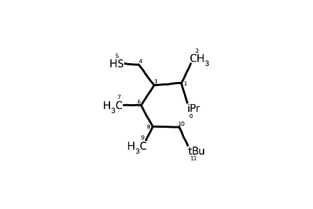 CC(C)C(C)C(CS)C(C)C(C)CC(C)(C)C